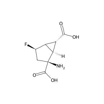 N[C@@]1(C(=O)O)C[C@@H](F)C2[C@H](C(=O)O)[C@H]21